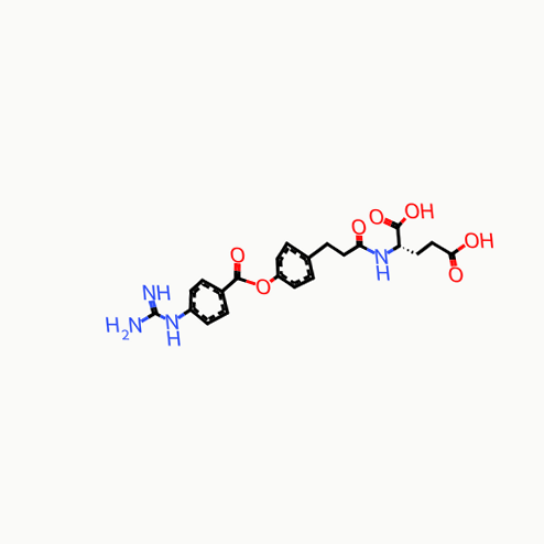 N=C(N)Nc1ccc(C(=O)Oc2ccc(CCC(=O)N[C@@H](CCC(=O)O)C(=O)O)cc2)cc1